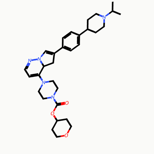 CC(C)N1CCC(c2ccc(C3=CN4N=CC=C(N5CCN(C(=O)OC6CCOCC6)CC5)C4C3)cc2)CC1